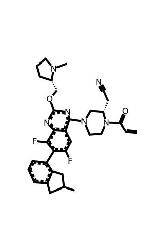 C=CC(=O)N1CCN(c2nc(OC[C@@H]3CCCN3C)nc3c(F)c(-c4cccc5c4CC(C)C5)c(F)cc23)C[C@@H]1CC#N